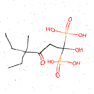 CCC(C)(CC)C(=O)CC(O)(P(=O)(O)O)P(=O)(O)O